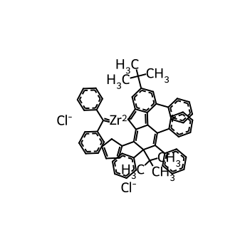 CC(C)(C)c1cc(-c2ccccc2)c2c(c1)=[C]([Zr+2]=[C](c1ccccc1)c1ccccc1)C1=C(C3=CC=CC3)C(c3ccccc3)(C(C)(C)C)C(c3ccccc3)=C(c3ccccc3)C=21.[Cl-].[Cl-]